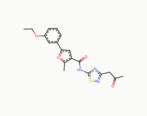 CCOc1cccc(-c2cc(C(=O)Nc3nc(CC(C)=O)ns3)c(C)o2)c1